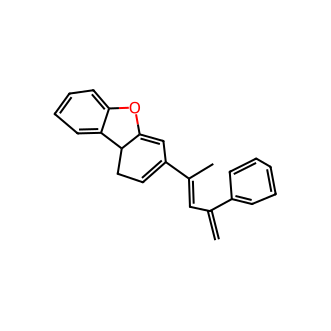 C=C(/C=C(\C)C1=CCC2C(=C1)Oc1ccccc12)c1ccccc1